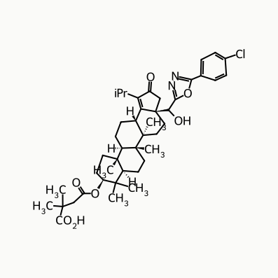 CC(C)C1=C2[C@H]3CC[C@@H]4[C@@]5(C)CC[C@H](OC(=O)CC(C)(C)C(=O)O)C(C)(C)[C@@H]5CC[C@@]4(C)[C@]3(C)CC[C@@]2(C(O)c2nnc(-c3ccc(Cl)cc3)o2)CC1=O